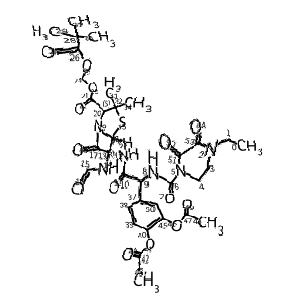 CCN1CCN(C(=O)NC(C(=O)N[C@]2(NC=O)C(=O)N3[C@@H](C(=O)OCOC(=O)C(C)(C)C)C(C)(C)S[C@@H]32)c2ccc(OC(C)=O)c(OC(C)=O)c2)C(=O)C1=O